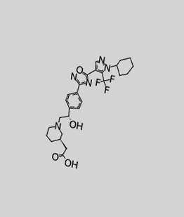 O=C(O)C[C@H]1CCCN(C[C@@H](O)c2ccc(-c3noc(-c4cnn(C5CCCCC5)c4C(F)(F)F)n3)cc2)C1